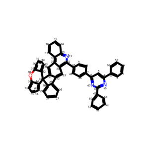 c1ccc(-c2cc(-c3ccc(-c4nc5ccccc5c5cc6c(cc45)-c4ccccc4C64c5ccccc5Oc5ccccc54)cc3)nc(-c3ccccc3)n2)cc1